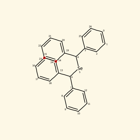 c1ccc(C([Se]C(c2ccccc2)c2ccccc2)c2ccccc2)cc1